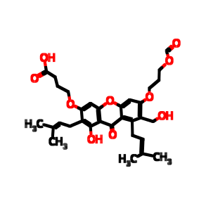 CC(C)=CCc1c(OCCCC(=O)O)cc2oc3cc(OCCCOC=O)c(CO)c(CC=C(C)C)c3c(=O)c2c1O